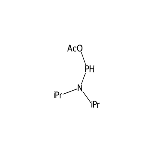 CC(=O)OPN(C(C)C)C(C)C